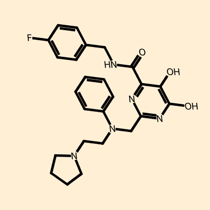 O=C(NCc1ccc(F)cc1)c1nc(CN(CCN2CCCC2)c2ccccc2)nc(O)c1O